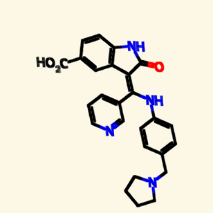 O=C1Nc2ccc(C(=O)O)cc2C1=C(Nc1ccc(CN2CCCC2)cc1)c1cccnc1